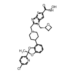 C[C@]1(c2ccc(Cl)cn2)Oc2cccc(C3CCN(Cc4nc5sc(C(=O)NO)cc5n4C[C@@H]4CCO4)CC3)c2O1